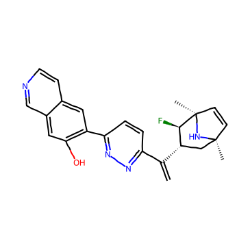 C=C(c1ccc(-c2cc3ccncc3cc2O)nn1)[C@H]1C[C@]2(C)C=C[C@@](C)(N2)[C@@H]1F